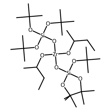 CCC(C)[O][Zr]([O]C(C)CC)([O][Si](OC(C)(C)C)(OC(C)(C)C)OC(C)(C)C)[O][Si](OC(C)(C)C)(OC(C)(C)C)OC(C)(C)C